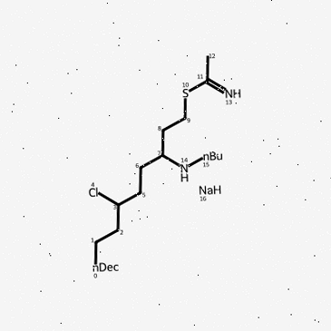 CCCCCCCCCCCCC(Cl)CCC(CCSC(C)=N)NCCCC.[NaH]